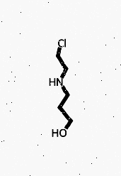 OCCCNCCCl